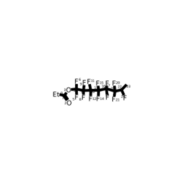 CCC(=O)OC(F)(F)C(F)(F)C(F)(F)C(F)(F)C(F)(F)C(F)(F)C(C)F